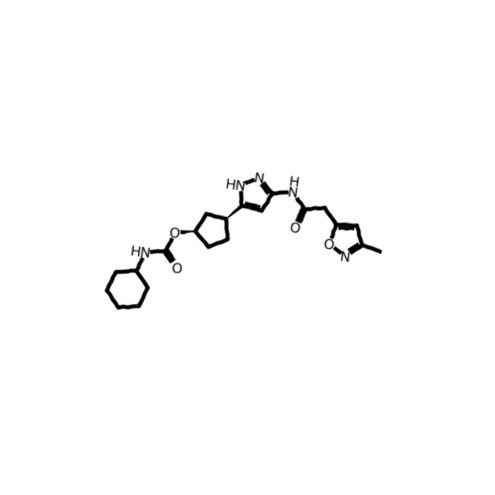 Cc1cc(CC(=O)Nc2cc([C@H]3CC[C@@H](OC(=O)NC4CCCCC4)C3)[nH]n2)on1